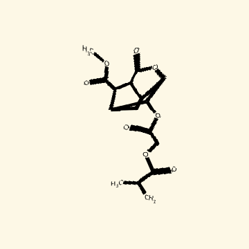 COC(=O)C1C2CC3C(OC(=O)C31)C2OC(=O)COC(=O)C(C)C